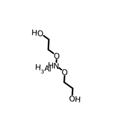 OCCONOCCO.[AlH3]